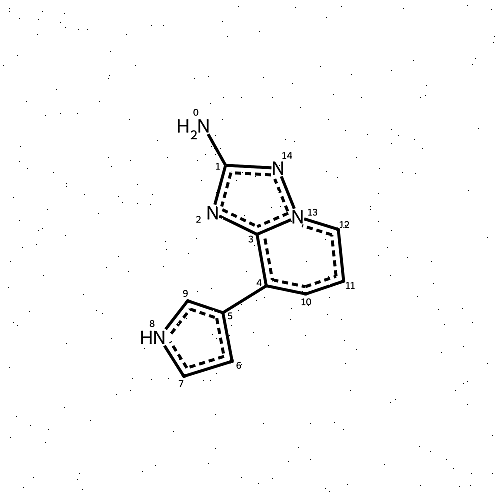 Nc1nc2c(-c3cc[nH]c3)cccn2n1